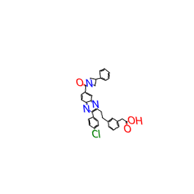 O=C(O)Cc1cccc(CCc2nc3cc(C(=O)N4CC(c5ccccc5)C4)ccc3nc2-c2ccc(Cl)cc2)c1